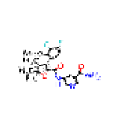 COc1c([C@H]2[C@@H](C(=O)Nc3cncc(C(N)=O)c3)O[C@](C)(C(F)(F)F)[C@H]2C)ccc(F)c1F